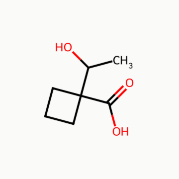 CC(O)C1(C(=O)O)CCC1